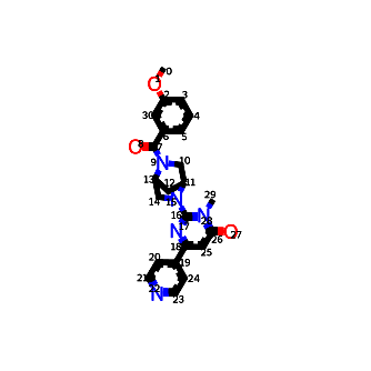 COc1cccc(C(=O)N2CC3CC2CN3c2nc(-c3ccncc3)cc(=O)n2C)c1